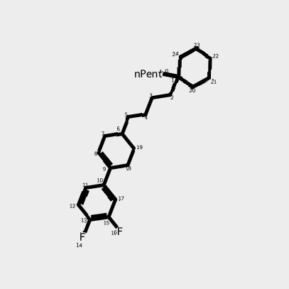 CCCCCC1(CCCCC2CC=C(c3ccc(F)c(F)c3)CC2)CCCCC1